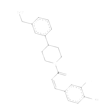 CNCc1cccc(C2CCN(C(=O)/C=C\c3ccc(O)c(O)c3)CC2)c1